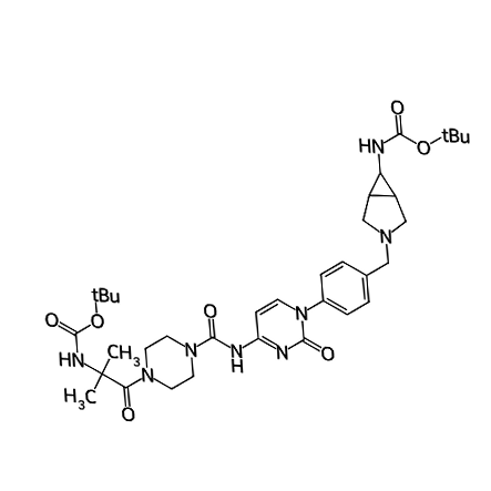 CC(C)(C)OC(=O)NC1C2CN(Cc3ccc(-n4ccc(NC(=O)N5CCN(C(=O)C(C)(C)NC(=O)OC(C)(C)C)CC5)nc4=O)cc3)CC21